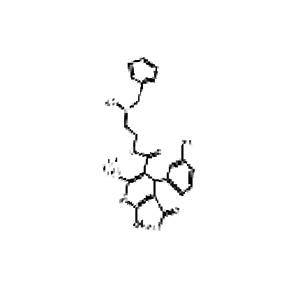 COC(=O)C1=C(C)NC(C)=C(C(=O)OCCN(C)Cc2ccccc2)C1c1cccc([N+](=O)[O-])c1.O=S(=O)(O)O